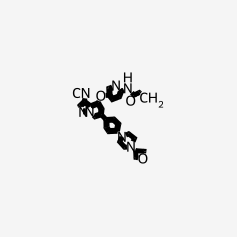 C=CC(=O)Nc1ccc(Oc2cc(-c3ccc(N4CCN(C5COC5)CC4)cc3)cn3ncc(C#N)c23)cn1